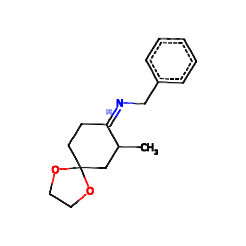 CC1CC2(CC/C1=N/Cc1ccccc1)OCCO2